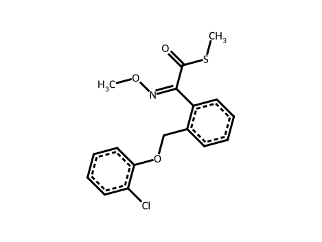 CON=C(C(=O)SC)c1ccccc1COc1ccccc1Cl